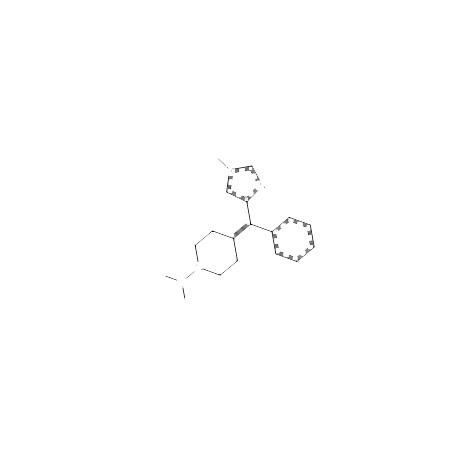 CB(O)N1CCC(=C(c2ccccc2)c2cn(C)cn2)CC1